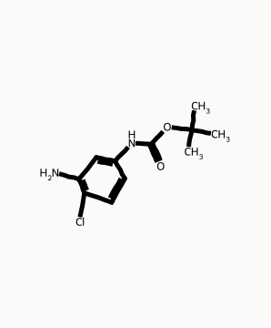 CC(C)(C)OC(=O)Nc1ccc(Cl)c(N)c1